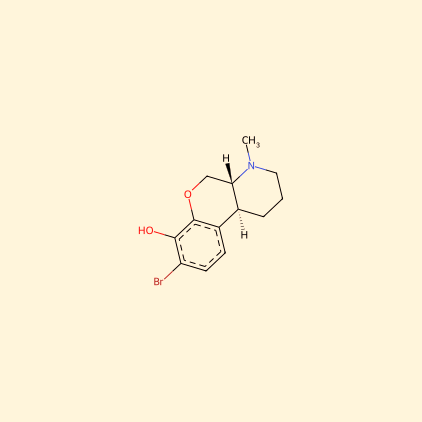 CN1CCC[C@H]2c3ccc(Br)c(O)c3OC[C@@H]21